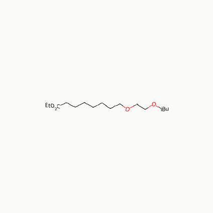 CCOC(=O)CCCCCCCOCCOC(C)CC